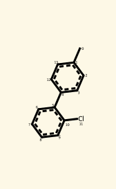 Cc1ccc(-c2ccc[c]c2Cl)cc1